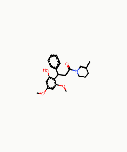 COc1cc(O)c(C(CC(=O)N2CCCC(C)C2)c2ccccc2)c(OC)c1